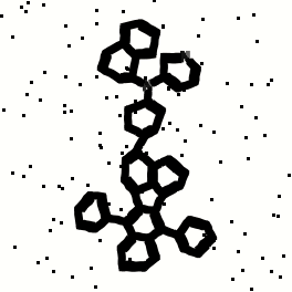 C1=C(c2ccc3c4c(cccc24)-c2c-3c(-c3ccccc3)c3ccccc3c2-c2ccccc2)CCC(N(c2cccnc2)c2cccc3ccccc23)=C1